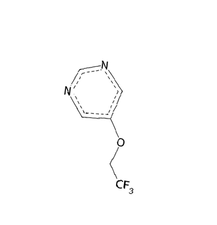 FC(F)(F)COc1cncnc1